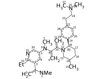 C=C(NC)c1cc(N(C)C(=C)C(=C)N2CC(C)CC[C@@H]2c2ccc(CCN(C)C)cc2)cnc1CC